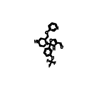 O=CC1=COC(c2cccc(OC(F)(F)F)c2)(N2CCNCC2COc2cccnc2)N1